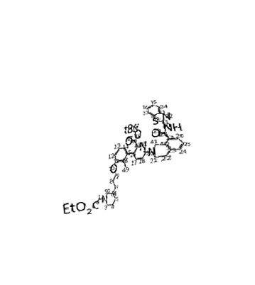 CCOC(=O)CN1CCC[C@H](CCCOc2cccc(-c3ccc(N4CCc5cccc(C(=O)Nc6nc7ccccc7s6)c5C4)nc3C(=O)OC(C)(C)C)c2C)C1